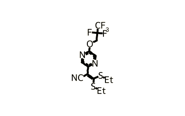 CCSC(SCC)=C(C#N)c1cnc(OCC(F)(F)C(F)(F)F)cn1